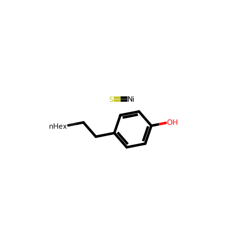 CCCCCCCCc1ccc(O)cc1.[S]=[Ni]